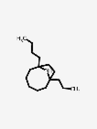 CCCCC12CCCCCC(CCC)(CC1)N2